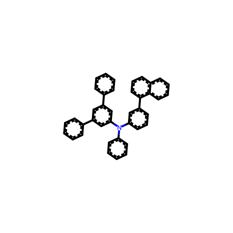 c1ccc(-c2cc(-c3ccccc3)cc(N(c3ccccc3)c3cccc(-c4cccc5ccccc45)c3)c2)cc1